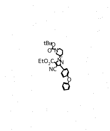 CCOC(=O)c1c(C#N)c(-c2ccc(Oc3ccccc3)cc2)nn1[C@@H]1CCCN(C(=O)OC(C)(C)C)C1